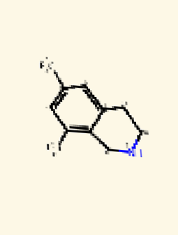 CC(C)(C)c1cc(C(F)(F)F)cc2c1CNCC2